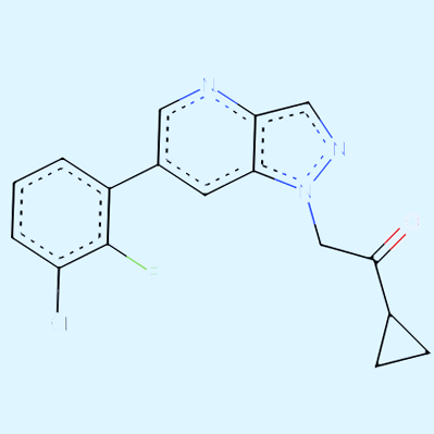 O=C(Cn1ncc2ncc(-c3cccc(C(F)(F)F)c3F)cc21)C1CC1